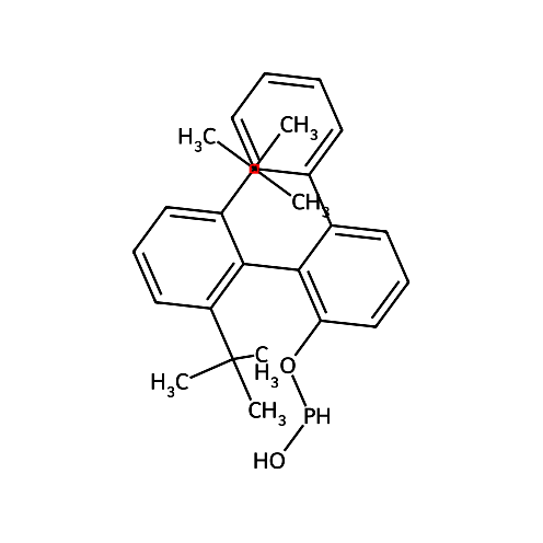 CC(C)(C)c1cccc(C(C)(C)C)c1-c1c(OPO)cccc1-c1ccccc1